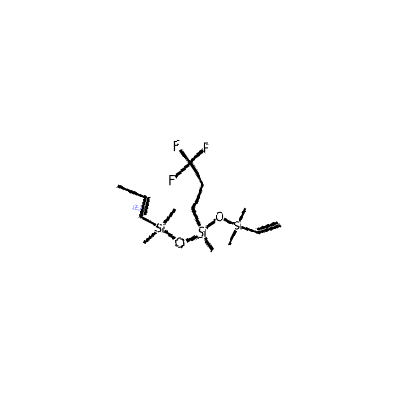 C=C[Si](C)(C)O[Si](C)(CCC(F)(F)F)O[Si](C)(C)/C=C/C